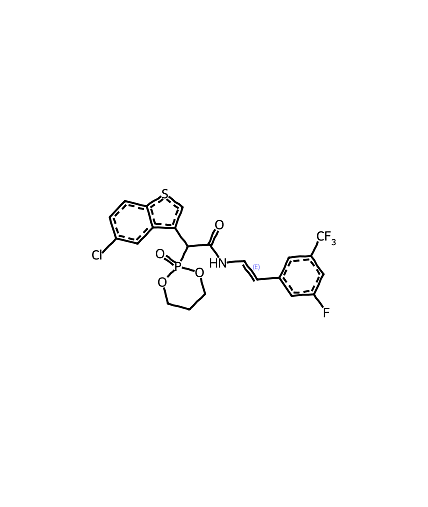 O=C(N/C=C/c1cc(F)cc(C(F)(F)F)c1)C(c1csc2ccc(Cl)cc12)P1(=O)OCCCO1